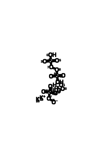 O.O.O.O=S(=O)(O)OOS(=O)(=O)O.O=S(=O)([O-])O[O-].[K+].[K+]